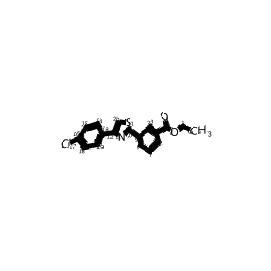 CCOC(=O)c1cccc(-c2nc(-c3ccc(Cl)cc3)cs2)c1